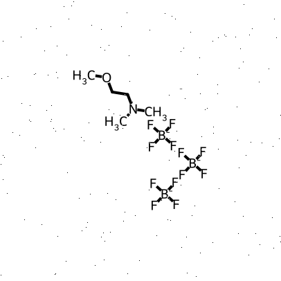 COCCN(C)C.F[B-](F)(F)F.F[B-](F)(F)F.F[B-](F)(F)F